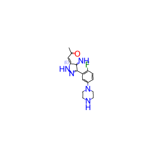 CC(=O)/C=C1/NN=C(c2cc(N3CCNCC3)ccc2F)C1=N